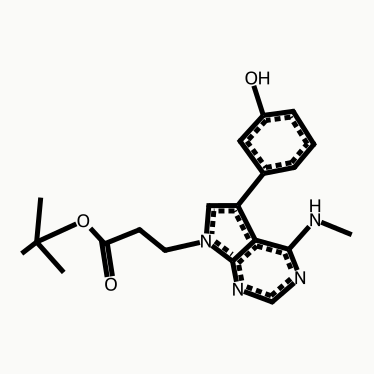 CNc1ncnc2c1c(-c1cccc(O)c1)cn2CCC(=O)OC(C)(C)C